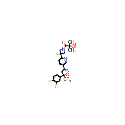 CC(C)(O)C(=O)N1CC(F)(c2ccc(C3=NOC(c4ccc(F)c(Cl)c4)(C(F)(F)F)C3)cn2)C1